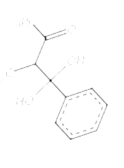 CC(C)C(=O)C(C)C(O)(O)c1ccccc1